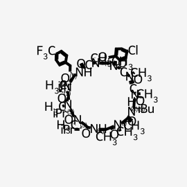 CC[C@H](C)[C@@H]1NC(=O)[C@H](C)N(C)C(=O)C[C@@H](C)NC(=O)[C@H](CC(C)C)N(C)C(=O)[C@H](C(C)C)N(C)C(=O)[C@H](CC(C)C)N(C)C(=O)[C@H](CCc2ccc(C(F)(F)F)cc2)NC(=O)CN(C)C(=O)[C@H](Cc2ccc(Cl)cc2)N(C)C(=O)CN(C)C(=O)CN(C)C1=O